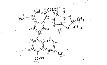 CCOC(=O)[C@@H]1[C@H]2CC(C)(C)O[C@H]2CN1C(=O)c1nc(-c2ccc(OC)c3nc(C(F)(F)F)ccc23)oc1[C@H](C)N